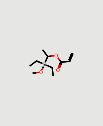 C=CC(=O)OC(C)[Si](CC)(CC)OC